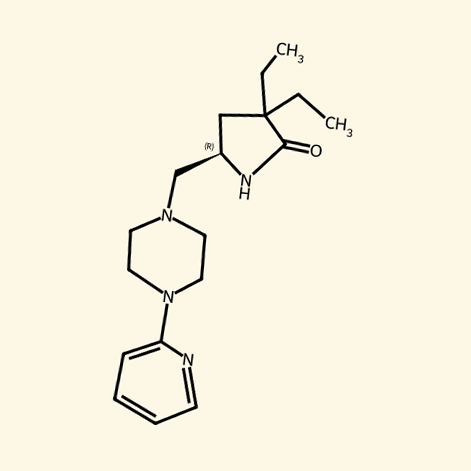 CCC1(CC)C[C@H](CN2CCN(c3ccccn3)CC2)NC1=O